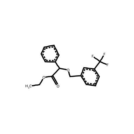 CCOC(=O)C(OCc1cccc(C(F)(F)F)c1)c1ccccc1